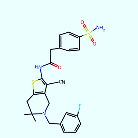 CC1(C)Cc2sc(NC(=O)Cc3ccc(S(N)(=O)=O)cc3)c(C#N)c2CN1Cc1cccc(F)c1